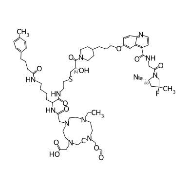 CCN1CCN(COC=O)CCN(CC(=O)O)CCN(CC(=O)NC(CCCCNC(=O)CCCc2ccc(C)cc2)C(=O)NCCSC[C@@H](O)C(=O)N2CCC(CCCOc3ccc4nccc(C(=O)NCC(=O)N5CC(C)(F)C[C@@H]5C#N)c4c3)CC2)CC1